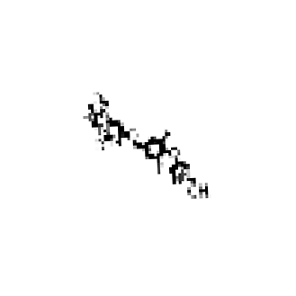 CCn1cc(Oc2c(F)cc(COc3cc4n(c(=O)n3)C[C@@H]3COCN43)cc2F)cn1